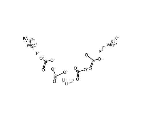 O=[Si]([O-])[O-].O=[Si]([O-])[O-].O=[Si]([O-])[O-].O=[Si]([O-])[O-].[F-].[F-].[F-].[F-].[K+].[K+].[K+].[Li+].[Li+].[Li+].[Mg+2].[Mg+2].[Mg+2]